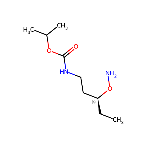 CC[C@@H](CCNC(=O)OC(C)C)ON